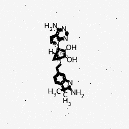 CC1(C)C(N)=Nc2cc(CC[C@]34C[C@@H]3[C@@H](n3ccc5c(N)ncnc53)[C@H](O)[C@@H]4O)ccc21